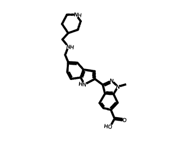 Cn1nc(-c2cc3cc(CNCC4CCNCC4)ccc3[nH]2)c2ccc(C(=O)O)cc21